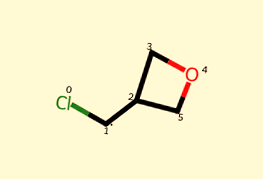 Cl[CH]C1COC1